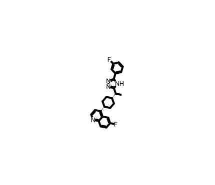 CC(c1nnc(-c2cccc(F)c2)[nH]1)[C@H]1CC[C@@H](c2ccnc3ccc(F)cc32)CC1